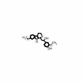 COc1ccc2c3c([nH]c2c1)C(CC(O)c1ccc(O)c(OC)c1)=NCC3